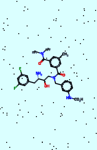 CCCN(CCC)C(=O)c1cc(C)cc(C(=O)N(Cc2cccc(NC(=O)O)c2)C[C@@H](O)[C@@H](N)Cc2cc(F)cc(F)c2)c1